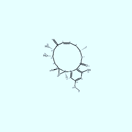 C=C1/C=C\C[C@H](C)OC(=O)c2c(O)cc(OC)cc2[C@H]2O[C@@H]2C[C@H](O)[C@@H]1O